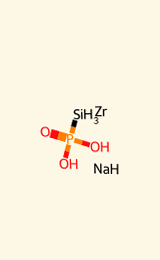 O=P(O)(O)[SiH3].[NaH].[Zr]